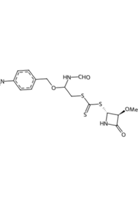 CO[C@H]1C(=O)N[C@@H]1SC(=S)SCC(NC=O)OCc1ccc([N+](=O)[O-])cc1